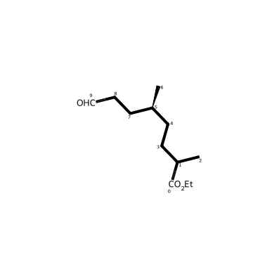 CCOC(=O)C(C)CC[C@H](C)CCC=O